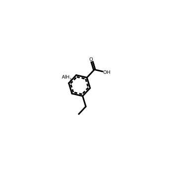 CCc1cccc(C(=O)O)c1.[AlH3]